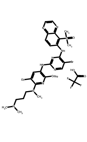 CCc1cc(Nc2ncc(Br)c(Nc3ccc4nccnc4c3P(C)(C)=O)n2)c(OC)nc1N(C)CCCN(C)C.O=C(O)C(F)(F)F